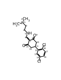 CN(C)CCNC=C1C(=O)CC(c2cc(Cl)ccc2Cl)CC1=O